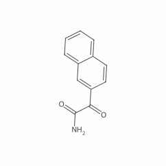 NC(=O)C(=O)c1ccc2ccccc2c1